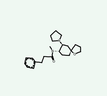 CN(C(=O)CCc1ccccc1)[C@H]1CC[C@]2(CCCO2)C[C@@H]1N1CCCC1